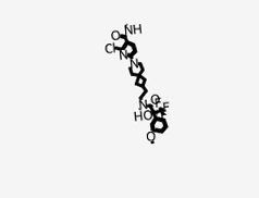 CNC(=O)c1ccc(N2CCC3(CC2)CC(CCN(C)C(=O)[C@](O)(c2cccc(OC)c2)C(F)(F)F)C3)nc1Cl